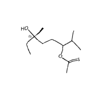 CC[C@](C)(O)CCC(OC(C)=S)C(C)C